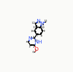 COC1=CC=NC(c2ccc3c(cnn3C)c2)N1